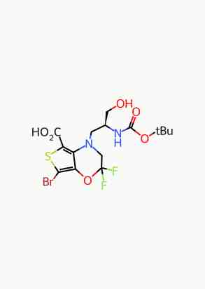 CC(C)(C)OC(=O)N[C@H](CO)CN1CC(F)(F)Oc2c(Br)sc(C(=O)O)c21